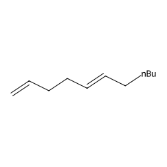 C=CCCC=CCCCCC